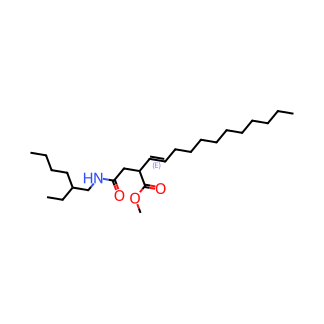 CCCCCCCCCC/C=C/C(CC(=O)NCC(CC)CCCC)C(=O)OC